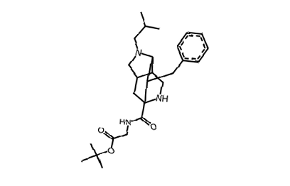 CC(C)CN1CC2CC3(C(=O)NCC(=O)OC(C)(C)C)NCC2C1C3Cc1ccccc1